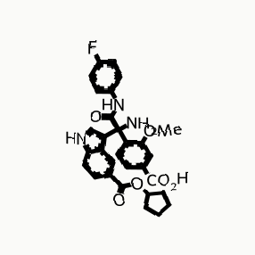 COc1cc(C(=O)O)ccc1C(N)(C(=O)Nc1ccc(F)cc1)c1c[nH]c2ccc(C(=O)OC3CCCC3)cc12